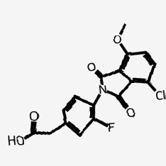 COc1ccc(Cl)c2c1C(=O)N(c1ccc(CC(=O)O)cc1F)C2=O